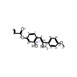 C=CC(=O)Oc1ccc(/C=C(\N)c2ccc(OC)cc2)c(O)c1